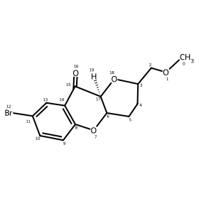 COCC1CCC2Oc3ccc(Br)cc3C(=O)[C@H]2O1